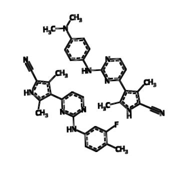 Cc1[nH]c(C#N)c(C)c1-c1ccnc(Nc2ccc(N(C)C)cc2)n1.Cc1ccc(Nc2nccc(-c3c(C)[nH]c(C#N)c3C)n2)cc1F